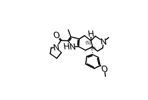 COc1cccc([C@@]23CCN(C)C[C@H]2Cc2c([nH]c(C(=O)N4CCCC4)c2C)C3)c1